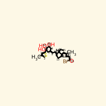 Cc1csc([C@@]2(O)CC(=C/C=C3\CCC[C@]4(C)[C@@H]([C@H](C)CCC(=O)Br)CC[C@@H]34)C[C@@H](O)[C@@H]2O)c1